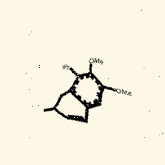 COc1cc2c(c(C(C)C)c1OC)CC(C)C=C2